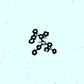 c1ccc(-c2ccc(C3N=C(c4cccc5c4c4ccccc4n5-c4ccccc4)N=C(c4cc(-n5c6ccccc6c6cc7ccccc7cc65)cc5c4oc4ccccc45)N3)cc2)cc1